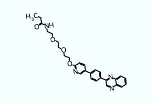 CCC(=O)NCCOCCOCCOc1ccc(-c2ccc(-c3cnc4ccccc4n3)cc2)cn1